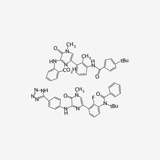 Cc1c(NC(=O)c2ccc(C(C)(C)C)cc2)cccc1-c1cn(C)c(=O)c(Nc2ccccc2C(=O)O)n1.Cn1cc(-c2cccc(N(C(=O)c3ccccc3)C(C)(C)C)c2F)nc(Nc2ccc(-c3nnn[nH]3)cc2)c1=O